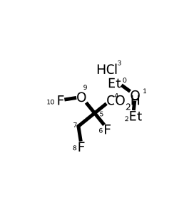 CCOCC.Cl.O=C(O)C(F)(CF)OF